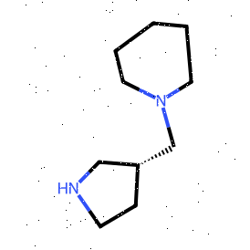 C1CCN(C[C@@H]2CCNC2)CC1